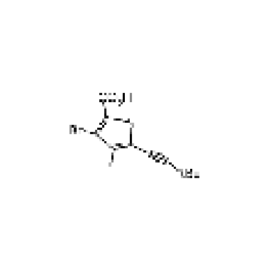 Cc1c(C#CC(C)(C)C)sc(C(=O)O)c1Br